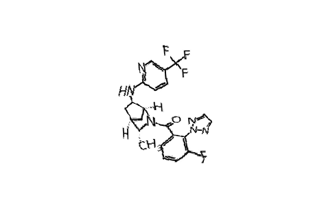 C[C@@H]1[C@H]2C[C@@H](Nc3ccc(C(F)(F)F)cn3)[C@H](C2)N1C(=O)c1cccc(F)c1-n1nccn1